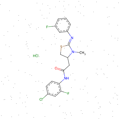 CN1C(=Nc2cccc(F)c2)SCC1CC(=O)Nc1ccc(Cl)cc1F.Cl